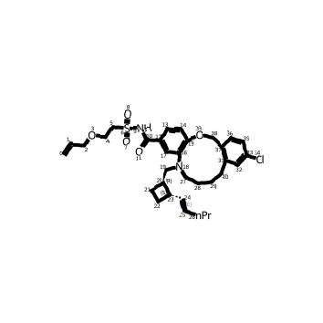 C=CCOCCS(=O)(=O)NC(=O)c1ccc2c(c1)N(C[C@@H]1CC[C@H]1/C=C/CCC)CCCCc1cc(Cl)ccc1CO2